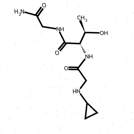 C[C@@H](O)[C@H](NC(=O)CNC1CC1)C(=O)NCC(N)=O